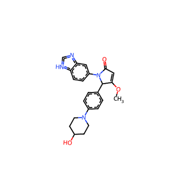 COC1=CC(=O)N(c2ccc3[nH]cnc3c2)C1c1ccc(N2CCC(O)CC2)cc1